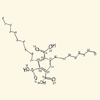 CCCCCCCCCCc1c(C(=O)O)c(CCCCCCCC)cc(C(=O)O)c1C(=O)O